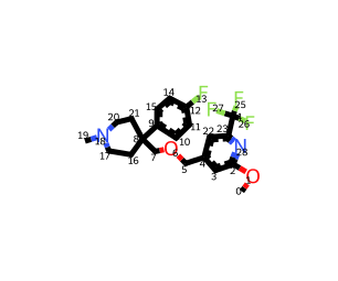 COc1cc(COCC2(c3ccc(F)cc3)CCN(C)CC2)cc(C(F)(F)F)n1